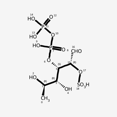 C[C@@H](O)[C@@H](O)[C@H](OP(=O)(O)OP(=O)(O)O)[C@H](C=O)OS(=O)(=O)O